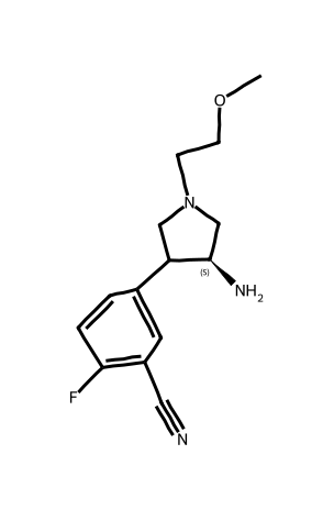 COCCN1CC(c2ccc(F)c(C#N)c2)[C@H](N)C1